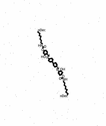 CCCCCCCCCCCCCCCCCCNC(=O)Oc1ccc(N=Nc2ccc(-c3ccc(N=Nc4ccc(OC(=O)NCCCCCCCCCCCCCCCCCC)cc4O)cc3)cc2)c(O)c1